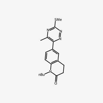 CCCCN1C(=O)CCc2cc(-c3nnc(SC)nc3C)ccc21